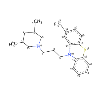 CC1CC(C)CN(CCCN2c3ccccc3Sc3ccc(C(F)(F)F)cc32)C1